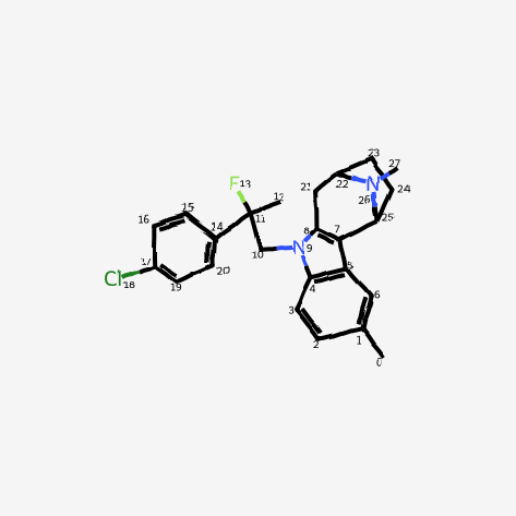 Cc1ccc2c(c1)c1c(n2CC(C)(F)c2ccc(Cl)cc2)CC2CCC1N2C